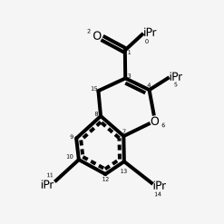 CC(C)C(=O)C1=C(C(C)C)Oc2c(cc(C(C)C)cc2C(C)C)C1